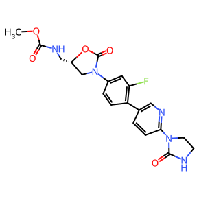 COC(=O)NC[C@H]1CN(c2ccc(-c3ccc(N4CCNC4=O)nc3)c(F)c2)C(=O)O1